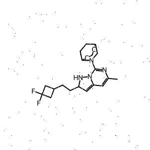 CC1=CC2=CC(CCC3CC(F)(F)C3)NN2C(N2CC3CCCC2CC3)=N1